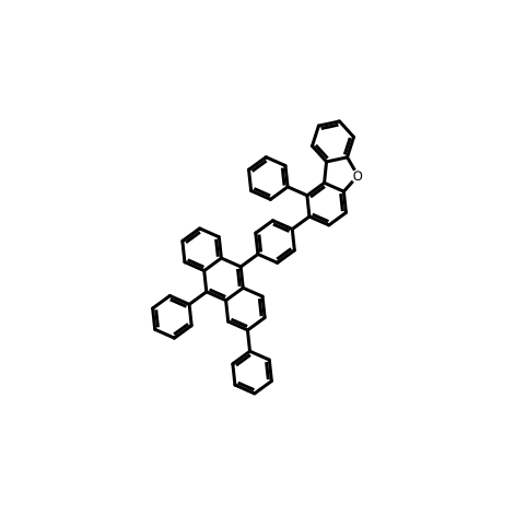 c1ccc(-c2ccc3c(-c4ccc(-c5ccc6oc7ccccc7c6c5-c5ccccc5)cc4)c4ccccc4c(-c4ccccc4)c3c2)cc1